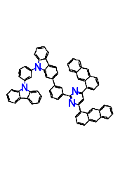 c1cc(-c2ccc3c4ccccc4n(-c4cccc(-n5c6ccccc6c6ccccc65)c4)c3c2)cc(-c2nc(-c3cccc4cc5ccccc5cc34)cc(-c3cccc4cc5ccccc5cc34)n2)c1